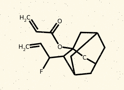 C=CC(=O)OC12CC3CC(CC(C3)C1C(F)C=C)C2